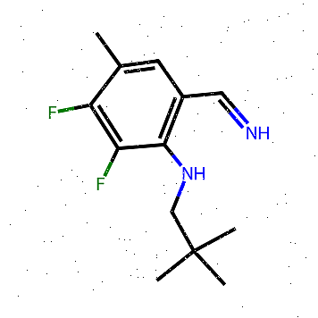 Cc1cc(C=N)c(NCC(C)(C)C)c(F)c1F